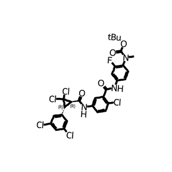 CN(C(=O)OC(C)(C)C)c1ccc(NC(=O)c2cc(NC(=O)[C@H]3[C@H](c4cc(Cl)cc(Cl)c4)C3(Cl)Cl)ccc2Cl)cc1F